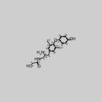 N[C@H](CNC(=O)CO)Cc1cc(I)c(Oc2ccc(O)cc2)c(I)c1